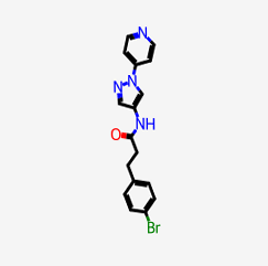 O=C(CCc1ccc(Br)cc1)Nc1cnn(-c2ccncc2)c1